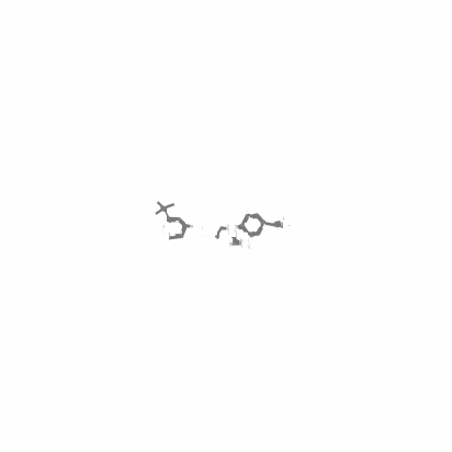 CC(C)(C)c1cc(OC[C@@H]2Cn3c(nc4cc(C#N)ccc43)O2)ccn1